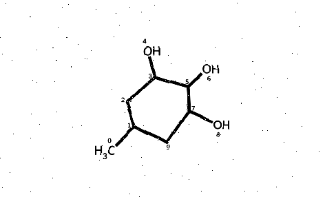 CC1[CH]C(O)C(O)C(O)C1